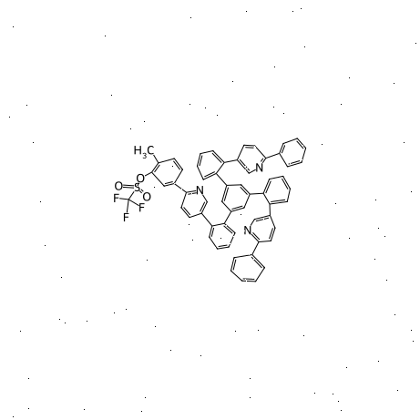 Cc1ccc(-c2ccc(-c3ccccc3-c3cc(-c4ccccc4-c4ccc(-c5ccccc5)nc4)cc(-c4ccccc4-c4ccc(-c5ccccc5)nc4)c3)cn2)cc1OS(=O)(=O)C(F)(F)F